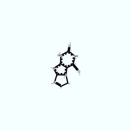 O=c1[nH]c(=O)c2c(nc3n2CC=N3)[nH]1